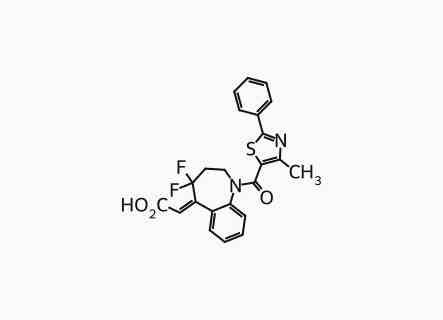 Cc1nc(-c2ccccc2)sc1C(=O)N1CCC(F)(F)C(=CC(=O)O)c2ccccc21